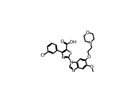 COc1cc2ncn(-c3nc(-c4cccc(Cl)c4)c(C(=O)O)s3)c2cc1OCCN1CCOCC1